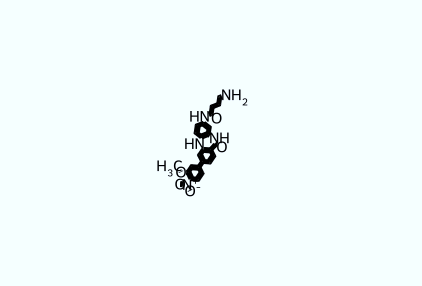 COc1cc(-c2ccc3c(c2)Nc2ccc(NC(=O)CCCN)cc2NC3=O)ccc1[N+](=O)[O-]